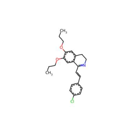 CCCOc1cc2c(cc1OCCC)C(C=Cc1ccc(Cl)cc1)=NCC2